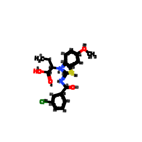 CCC(C(=O)O)n1c(=NC(=O)c2cccc(Cl)c2)sc2cc(OC)ccc21